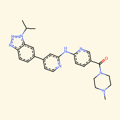 CC(C)n1nnc2ccc(-c3ccnc(Nc4ccc(C(=O)N5CCN(C)CC5)cn4)c3)cc21